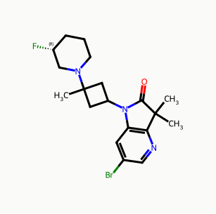 CC1(C)C(=O)N(C2CC(C)(N3CCC[C@@H](F)C3)C2)c2cc(Br)cnc21